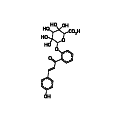 O=C(C=Cc1ccc(O)cc1)c1ccccc1OC1OC(C(=O)O)C(O)(O)C(O)C1(O)O